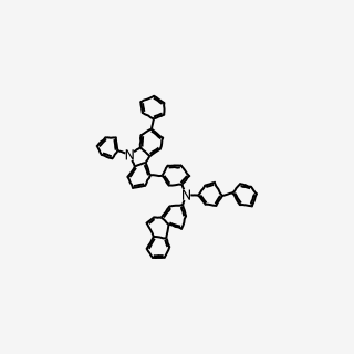 c1ccc(-c2ccc(N(c3cccc(-c4cccc5c4c4ccc(-c6ccccc6)cc4n5-c4ccccc4)c3)c3ccc4c(ccc5ccccc54)c3)cc2)cc1